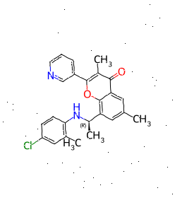 Cc1cc([C@@H](C)Nc2ccc(Cl)cc2C)c2oc(-c3cccnc3)c(C)c(=O)c2c1